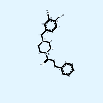 O=C(CCc1ccccc1)N1CCN(Cc2ccc(Cl)c(Cl)c2)CC1